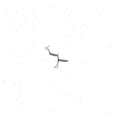 C=C(Cl)C=[C]Cl